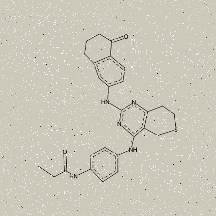 CCC(=O)Nc1ccc(Nc2nc(Nc3ccc4c(c3)CCCC4=O)nc3c2CSCC3)cc1